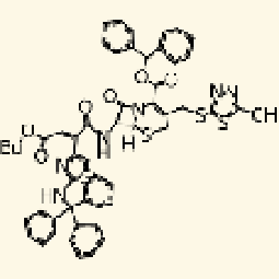 Cc1nnc(SCC2=C(C(=O)OC(c3ccccc3)c3ccccc3)N3C(=O)C(NC(=O)C(=CC(=O)OC(C)(C)C)c4csc(NC(c5ccccc5)(c5ccccc5)c5ccccc5)n4)[C@@H]3SC2)s1